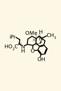 CO[C@@]12CCC(N[C@@H](CC(C)C)C(=O)O)C3Oc4c(O)ccc5c4[C@@]31CCN(C)[C@@H]2C5